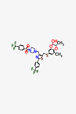 Cc1cc(SCc2sc(-c3ccc(C(F)(F)F)cc3)nc2CN2CCN(S(=O)(=O)c3ccc(C(F)(F)F)cc3)CC2)ccc1OC(C)C(=O)O